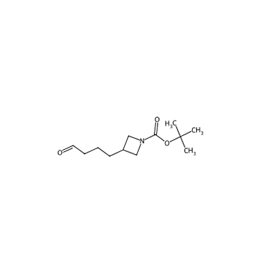 CC(C)(C)OC(=O)N1CC(CCCC=O)C1